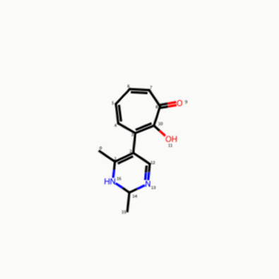 CC1=C(c2ccccc(=O)c2O)C=NC(C)N1